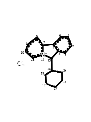 [Cl-].c1ccc2c(c1)-c1cccc[n+]1C2C1CCCCC1